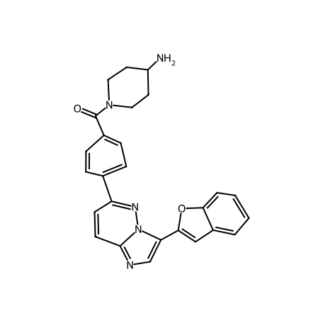 NC1CCN(C(=O)c2ccc(-c3ccc4ncc(-c5cc6ccccc6o5)n4n3)cc2)CC1